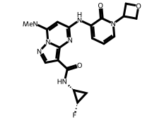 CNc1cc(Nc2cccn(C3COC3)c2=O)nc2c(C(=O)N[C@@H]3C[C@@H]3F)cnn12